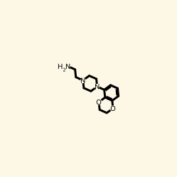 NCCN1CCN(c2cccc3c2OCCO3)CC1